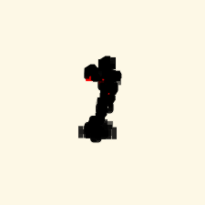 CC(C)C[C@H](NC(=O)[C@H](Cc1ccccc1)NC(=O)c1cnccn1)B1OCc2ccc(N(C)C(=O)OCCCC(=O)NC([PH](=O)O)P(=O)(O)O)cc2CO1